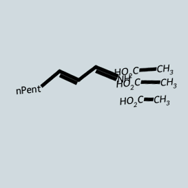 CC(=O)O.CC(=O)O.CC(=O)O.CCCCCC=CC=N